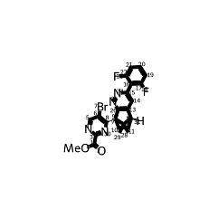 COC(=O)c1ncc(Br)c([C@]23CC[C@@H](c4cc(-c5c(F)cccc5F)nnc42)C3(C)C)n1